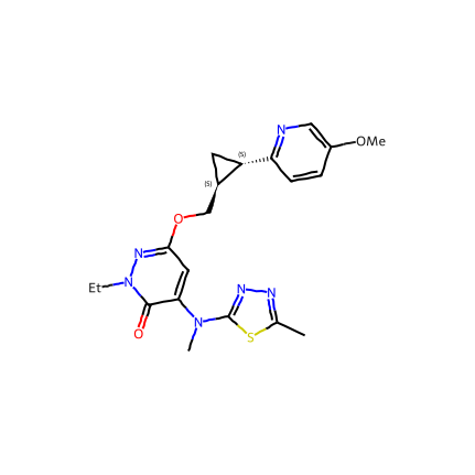 CCn1nc(OC[C@H]2C[C@@H]2c2ccc(OC)cn2)cc(N(C)c2nnc(C)s2)c1=O